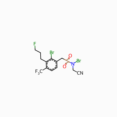 N#CCN(Br)S(=O)(=O)Cc1ccc(C(F)(F)F)c(CCCF)c1Br